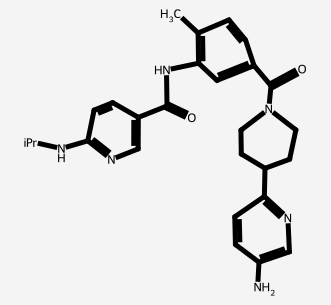 Cc1ccc(C(=O)N2CCC(c3ccc(N)cn3)CC2)cc1NC(=O)c1ccc(NC(C)C)nc1